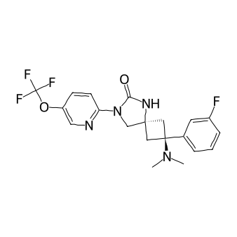 CN(C)[C@]1(c2cccc(F)c2)C[C@@]2(CN(c3ccc(OC(F)(F)F)cn3)C(=O)N2)C1